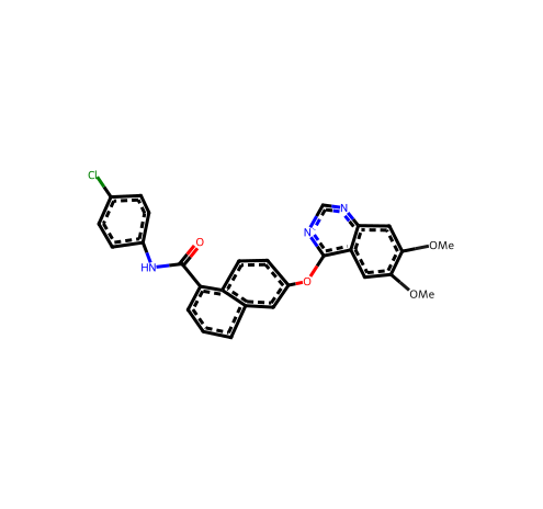 COc1cc2ncnc(Oc3ccc4c(C(=O)Nc5ccc(Cl)cc5)cccc4c3)c2cc1OC